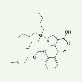 CCC[CH2][Sn]([CH2]CCC)([CH2]CCC)[C]1=CN(C(=O)c2ccccc2OCOCC[Si](C)(C)C)[C@H](C(=O)O)C1